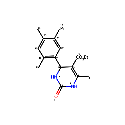 CCOC(=O)C1=C(C)NC(=O)NC1c1cc(C(C)C)c(C)cc1C